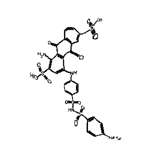 Nc1ccc(S(=O)(=O)NS(=O)(=O)c2ccc(Nc3cc(S(=O)(=O)O)c(N)c4c3C(=O)c3cc(S(=O)(=O)O)ccc3C4=O)cc2)cc1